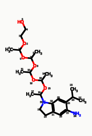 CC(OCCO)OC(C)OC(C)OC(C)OC(C)N1CCc2cc(N)c(C(C)C)cc21